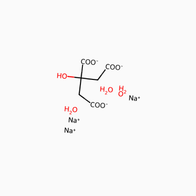 O.O.O.O=C([O-])CC(O)(CC(=O)[O-])C(=O)[O-].[Na+].[Na+].[Na+]